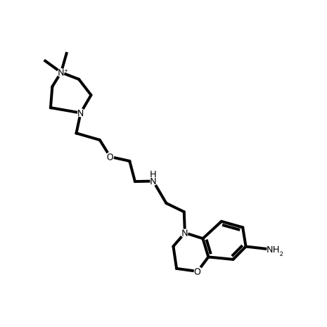 C[N+]1(C)CCN(CCOCCNCCN2CCOc3cc(N)ccc32)CC1